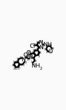 NCCC1c2ccc(-c3nc(NC4CCOCC4)ncc3Cl)cc2C(=O)N1CC(O)N1CCc2ccccc2CC1